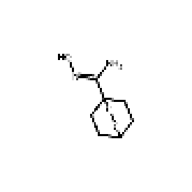 N/C(=N\O)C12CCC(CC1)CC2